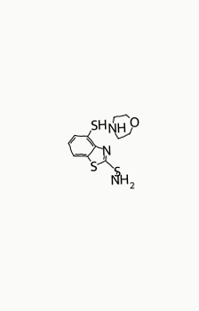 C1COCCN1.NSc1nc2c(S)cccc2s1